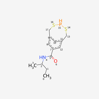 CCC(C)NC(=O)c1cc2cc(c1)CSPSC2